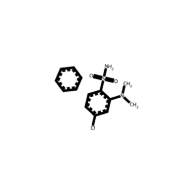 CN(C)c1cc(Cl)ccc1S(N)(=O)=O.c1ccccc1